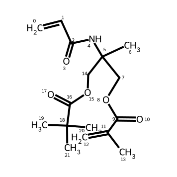 C=CC(=O)NC(C)(COC(=O)C(=C)C)COC(=O)C(C)(C)C